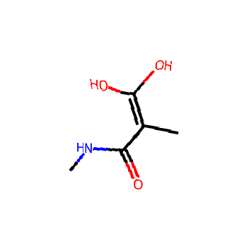 CNC(=O)C(C)=C(O)O